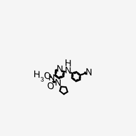 Cn1c(=O)n(C2CCCC2)c2cc(Nc3cccc(C#N)c3)ncc21